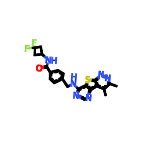 Cc1nnc2sc3c(NCc4ccc(C(=O)NC5CC(F)(F)C5)cc4)ncnc3c2c1C